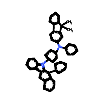 CC1(C)c2ccccc2-c2ccc(N(c3ccccc3)c3ccc(-n4c5ccccc5c5cc6ccccc6c(-c6ccccc6)c54)cc3)cc21